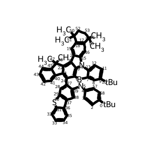 CC(C)(C)c1ccc(N2B3c4cc(C(C)(C)C)ccc4-n4c5cc6c(cc5c5c7c(c(c3c54)-c3cc4sc5ccccc5c4cc32)-c2ccccc2C7(C)C)C(C)(C)CCC6(C)C)cc1